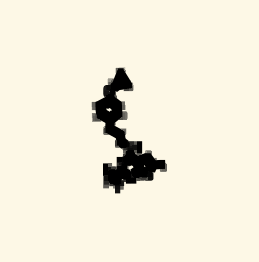 Cc1cc2c(NCCCc3ccc(OC4CC4)cc3)nc(C(F)(F)F)nc2s1